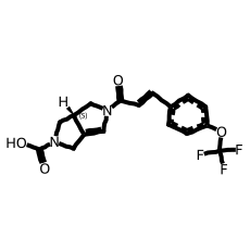 O=C(C=Cc1ccc(OC(F)(F)F)cc1)N1C=C2CN(C(=O)O)C[C@@H]2C1